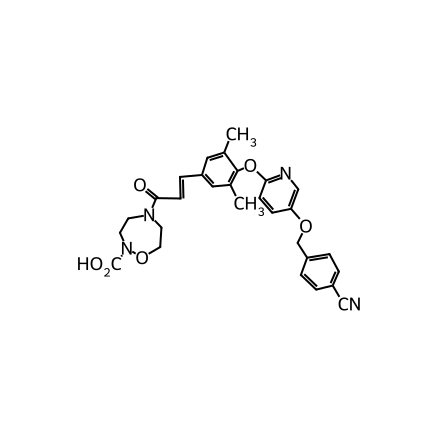 Cc1cc(C=CC(=O)N2CCON(C(=O)O)CC2)cc(C)c1Oc1ccc(OCc2ccc(C#N)cc2)cn1